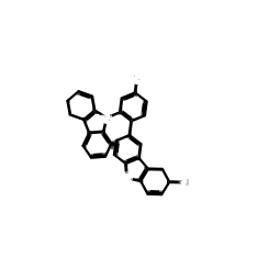 Nc1ccc(-c2ccc3oc4c(c3c2)CC(N)C=C4)c(-n2c3c(c4ccccc42)CCC=C3)c1